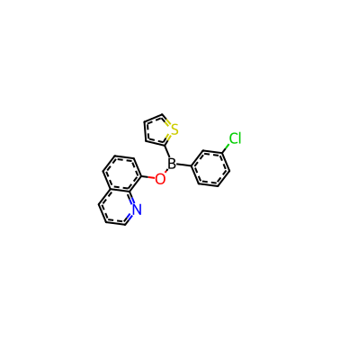 Clc1cccc(B(Oc2cccc3cccnc23)c2cccs2)c1